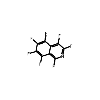 Fc1nc(F)c2c(F)c(F)c(F)c(F)c2c1F